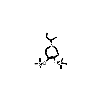 CCC(C)N1CCC(O[Si](C)(C)C)=C(O[Si](C)(C)C)CC1